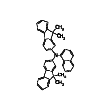 CC1(C)c2ccccc2-c2ccc(N(c3ccc4c(c3)C(C)(C)c3ccccc3-4)c3cccc4ccccc34)cc21